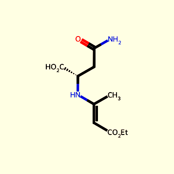 CCOC(=O)/C=C(\C)N[C@@H](CC(N)=O)C(=O)O